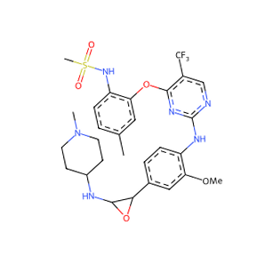 COc1cc(C2OC2NC2CCN(C)CC2)ccc1Nc1ncc(C(F)(F)F)c(Oc2cc(C)ccc2NS(C)(=O)=O)n1